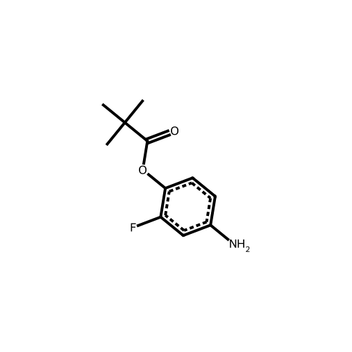 CC(C)(C)C(=O)Oc1ccc(N)cc1F